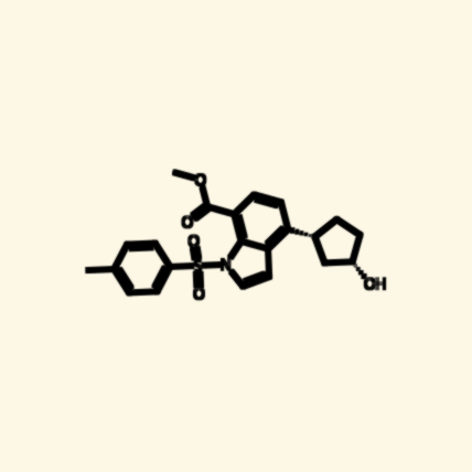 COC(=O)c1ccc([C@@H]2CC[C@H](O)C2)c2ccn(S(=O)(=O)c3ccc(C)cc3)c12